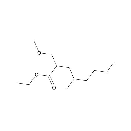 CCCCC(C)CC(COC)C(=O)OCC